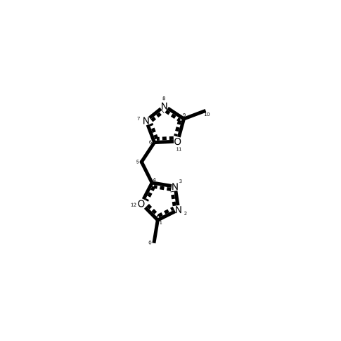 Cc1nnc(Cc2nnc(C)o2)o1